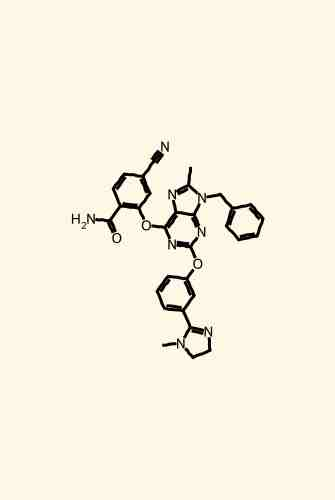 Cc1nc2c(Oc3cc(C#N)ccc3C(N)=O)nc(Oc3cccc(C4=NCCN4C)c3)nc2n1Cc1ccccc1